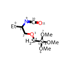 CCC(CO[SiH2][Si](OC)(OC)OC)N=C=O